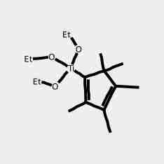 CC[O][Ti]([O]CC)([O]CC)[C]1=C(C)C(C)=C(C)C1(C)C